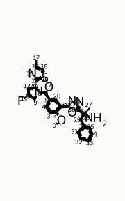 COc1ccc(C(=O)N2C[C@@H](F)C[C@@H]2c2nc(C)cs2)cc1-c1nnc([C@](C)(N)Cc2ccccc2)o1